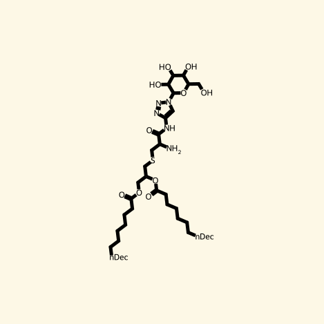 CCCCCCCCCCCCCCCCC(=O)OCC(CSCC(N)C(=O)Nc1cn(C2OC(CO)C(O)C(O)C2O)nn1)OC(=O)CCCCCCCCCCCCCCCC